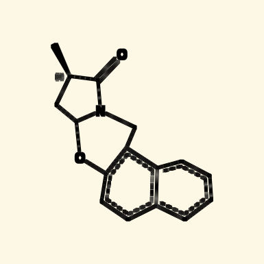 C[C@@H]1CC2Oc3ccc4ccccc4c3CN2C1=O